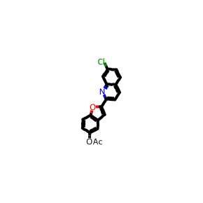 CC(=O)Oc1ccc2oc(-c3ccc4ccc(Cl)cc4n3)cc2c1